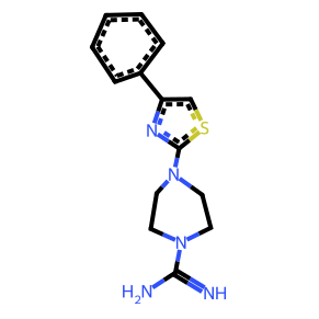 N=C(N)N1CCN(c2nc(-c3ccccc3)cs2)CC1